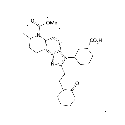 COC(=O)N1c2ccc3c(nc(CCN4CCCCC4=O)n3[C@@H]3CCC[C@@H](C(=O)O)C3)c2CCC1C